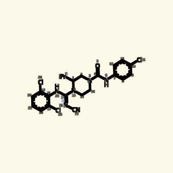 CC(C)C1CN(C(=O)Nc2ccc(Cl)cc2)CCN1/C(=N\C#N)Nc1c(Cl)cccc1Cl